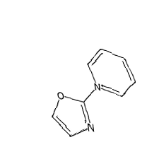 c1cc[n+](-c2ncco2)cc1